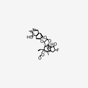 C=C[C@]1(C)C[C@@H](C(Oc2ccc3c(c2)B(O)N(C)N=C3)C(=O)O)[C@@]2(C)[C@H](C)CC[C@]3(CC(F)C(=O)[C@H]32)[C@@H](C)[C@@H]1OC=O